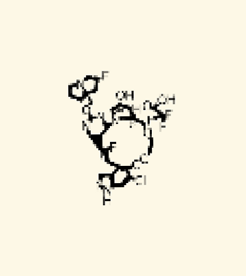 O=C(O)C(F)(F)F.O[C@@H]1C[C@@H]2COCCCCc3c(Cl)cc4[nH]ncc4c3-c3ncc4c(nc(OC[C@@]56CCCN5C[C@H](F)C6)nc4c3F)N(C1)C2